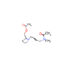 CC(=O)OCC1CCCN1CC#CCN(C)C(C)=O